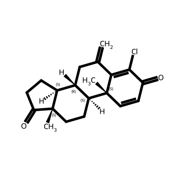 C=C1C[C@@H]2[C@H](CC[C@]3(C)C(=O)CC[C@@H]23)[C@@]2(C)C=CC(=O)C(Cl)=C12